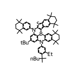 CCCCC(C)(C)c1ccc(N2c3cc4c(cc3B3c5c2cc(C(C)(C)C)cc5N(c2ccc5c(c2)C(C)(C)CCC5(C)C)c2sc5cc6c(cc5c23)C(C)(C)CCC6(C)C)C(C)(C)CCC4(C)C)cc1CC